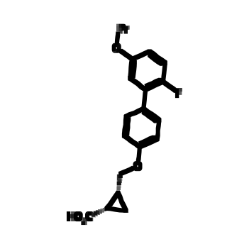 CC(C)Oc1ccc(F)c(-c2ccc(OC[C@@H]3C[C@@H]3C(=O)O)cc2)c1